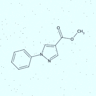 COC(=O)c1[c]n(-c2ccccc2)nc1